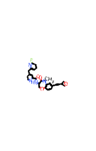 CN1C(=O)C(NC(=O)c2cc(Cc3cccc(F)n3)ccn2)COc2ccc(C#CC3COC3)cc21